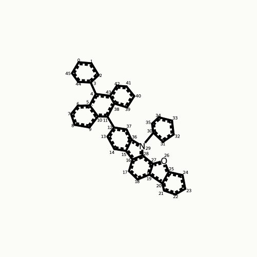 c1ccc(-c2c3ccccc3c(-c3ccc4c5ccc6c7ccccc7oc6c5n(-c5ccccc5)c4c3)c3ccccc23)cc1